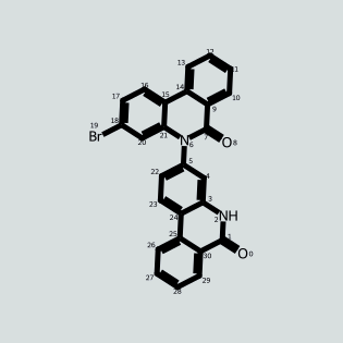 O=c1[nH]c2cc(-n3c(=O)c4ccccc4c4ccc(Br)cc43)ccc2c2ccccc12